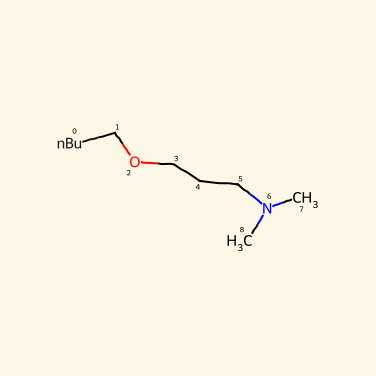 CCCCCOCCCN(C)C